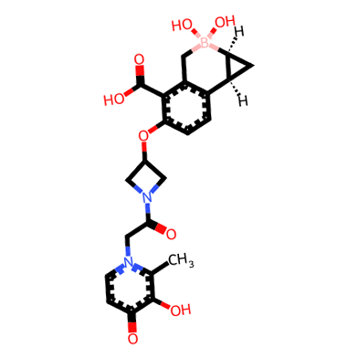 Cc1c(O)c(=O)ccn1CC(=O)N1CC(Oc2ccc3c(c2C(=O)O)C[B-](O)(O)[C@H]2C[C@@H]32)C1